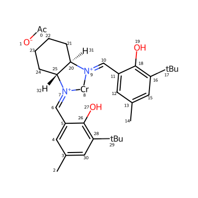 CC(=O)[O-].Cc1cc(C=[N+]2[Cr][N+](=Cc3cc(C)cc(C(C)(C)C)c3O)[C@@H]3CCCC[C@H]32)c(O)c(C(C)(C)C)c1